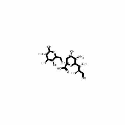 N[C@H]1C([C@H](O)[C@H](O)CO)O[C@@](OCC2OC(O)[C@@H](O)C(O)[C@@H]2O)(C(=O)O)C[C@H]1O